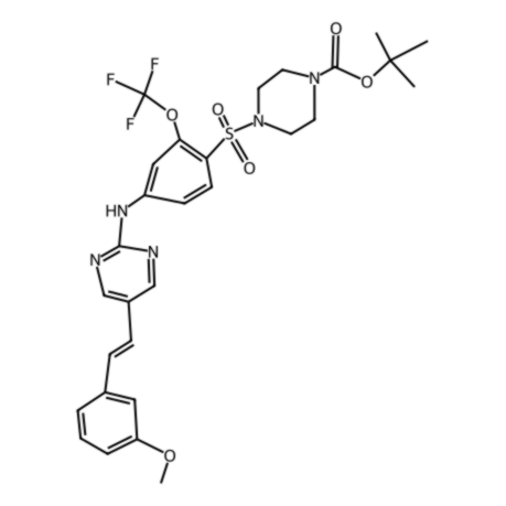 COc1cccc(C=Cc2cnc(Nc3ccc(S(=O)(=O)N4CCN(C(=O)OC(C)(C)C)CC4)c(OC(F)(F)F)c3)nc2)c1